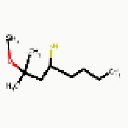 CCCCC(S)CC(C)(C)O[SiH3]